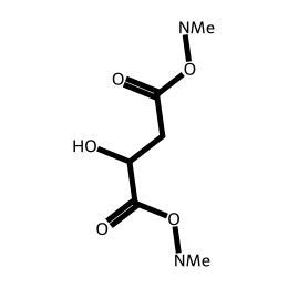 CNOC(=O)CC(O)C(=O)ONC